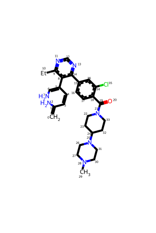 C=C(N)/C=C\C(=C/N)c1c(CC)ncnc1-c1ccc(C(=O)N2CCC(N3CCN(C)CC3)CC2)c(Cl)c1